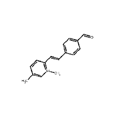 Cc1ccc(/C=C/c2ccc(C=O)cc2)[n+](C)c1